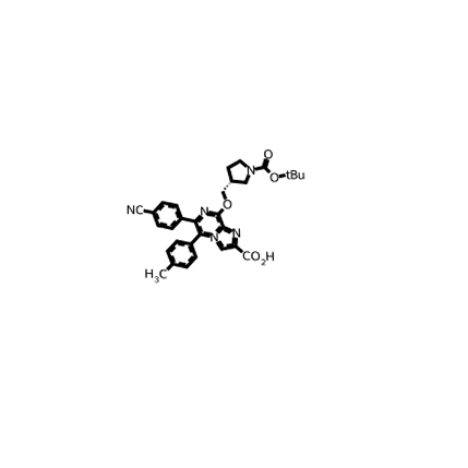 Cc1ccc(-c2c(-c3ccc(C#N)cc3)nc(OC[C@@H]3CCN(C(=O)OC(C)(C)C)C3)c3nc(C(=O)O)cn23)cc1